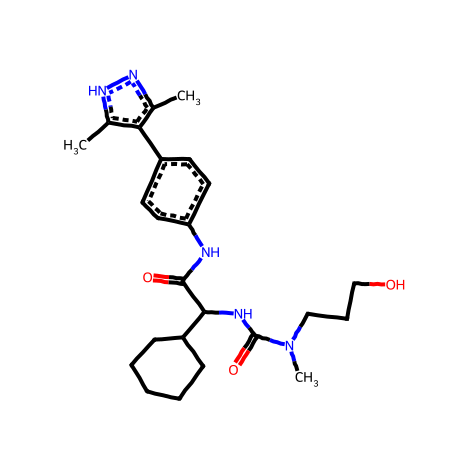 Cc1n[nH]c(C)c1-c1ccc(NC(=O)C(NC(=O)N(C)CCCO)C2CCCCC2)cc1